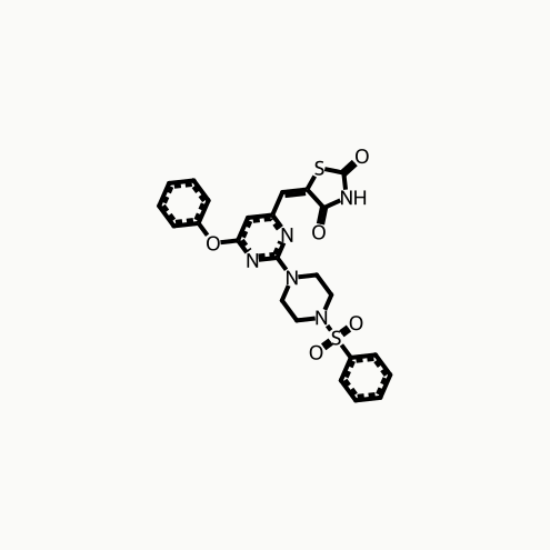 O=C1NC(=O)/C(=C\c2cc(Oc3ccccc3)nc(N3CCN(S(=O)(=O)c4ccccc4)CC3)n2)S1